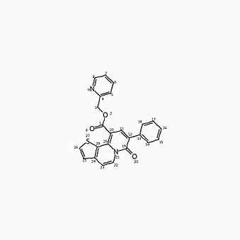 O=C(OCc1ccccn1)c1cc(-c2ccccc2)c(=O)n2ccc3ccsc3c12